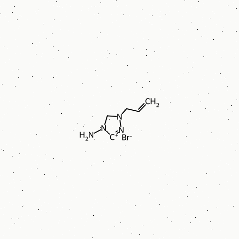 C=CCN1CN(N)[C+]=N1.[Br-]